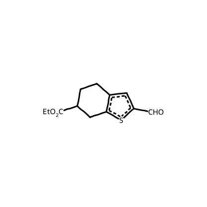 CCOC(=O)C1CCc2cc(C=O)sc2C1